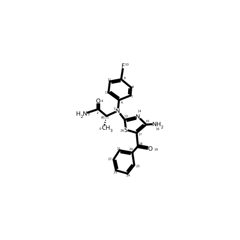 C[C@H](C(N)=O)N(c1ccc(F)cc1)c1nc(N)c(C(=O)c2ccccc2)s1